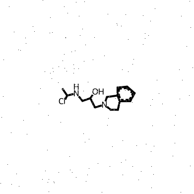 CC(Cl)NCC(O)CN1CCc2ccccc2C1